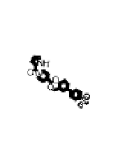 CS(=O)(=O)c1ccc(-c2ccc3c(c2)COC(C2CCN(C(=O)c4ccc[nH]4)CC2)O3)cc1